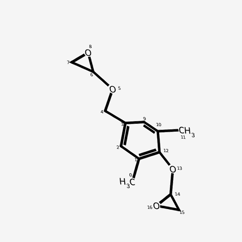 Cc1cc(COC2CO2)cc(C)c1OC1CO1